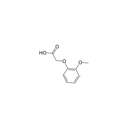 COc1[c]cccc1OCC(=O)O